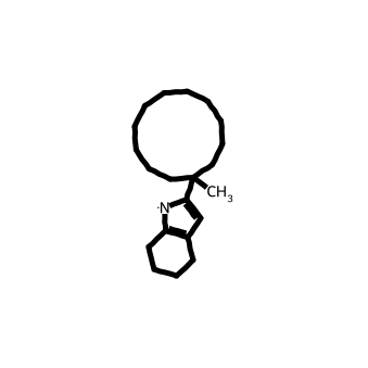 CC1(C2=CC3=C(CCCC3)[N]2)CCCCCCCCCCC1